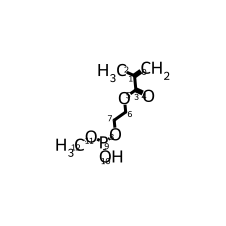 C=C(C)C(=O)OCCOP(O)OC